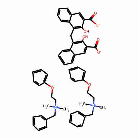 C[N+](C)(CCOc1ccccc1)Cc1ccccc1.C[N+](C)(CCOc1ccccc1)Cc1ccccc1.O=C([O-])c1cc2ccccc2c(Cc2c(O)c(C(=O)[O-])cc3ccccc23)c1O